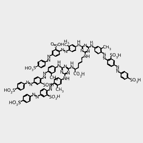 Cc1cc(Nc2nc(NCCCCC(Nc3nc(Nc4ccc(N=Nc5ccc(N=Nc6ccc(S(=O)(=O)O)cc6)cc5S(=O)(=O)O)c(C)c4)nc(Nc4ccc(N=Nc5ccc(N=Nc6ccc(S(=O)(=O)O)cc6)cc5S(=O)(=O)O)c(C)c4)n3)C(=O)O)nc(Nc3ccc(N=Nc4ccc(N=Nc5ccc(S(=O)(=O)O)cc5)cc4S(=O)(=O)O)c(C)c3)n2)ccc1N=Nc1ccc(N=Nc2ccc(S(=O)(=O)O)cc2)cc1S(=O)O